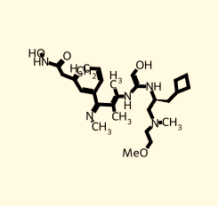 C=C(/C=C(\C=C/C)C(=N/C)/C(C)=C(\C)N/C(=C/O)N[C@@H](CC1CCC1)CN(C)CCOC)CC(=O)NO